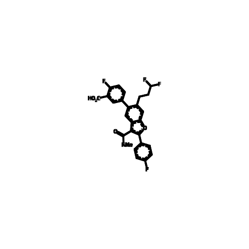 CNC(=O)c1c(-c2ccc(F)cc2)oc2cc(CCC(F)F)c(-c3ccc(F)c(C(=O)O)c3)cc12